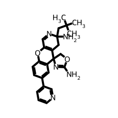 CC(C)(C)CC1(N)CC2=C(C=N1)Oc1ccc(-c3cccnc3)cc1C21COC(N)=N1